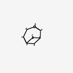 C1CC2CC(CO1)S2